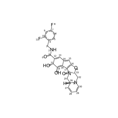 O=C(NCc1ccc(F)cc1F)C1=CC2=CC3=C(C2=C(O)C1O)[N+]1([O-])C[C@H]2C=CC=CN2CC1O3